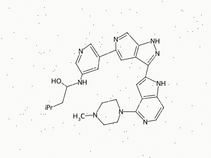 CC(C)CC(O)Nc1cncc(-c2cc3c(-c4cc5c(N6CCN(C)CC6)nccc5[nH]4)n[nH]c3cn2)c1